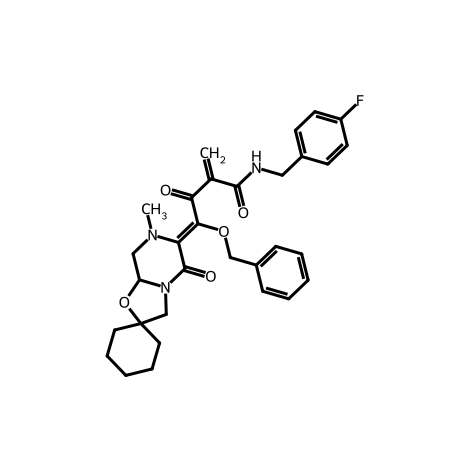 C=C(C(=O)NCc1ccc(F)cc1)C(=O)/C(OCc1ccccc1)=C1/C(=O)N2CC3(CCCCC3)OC2CN1C